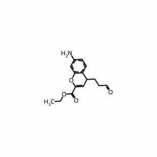 CCOC(=O)C1=CC(CCC=O)c2ccc(N)cc2O1